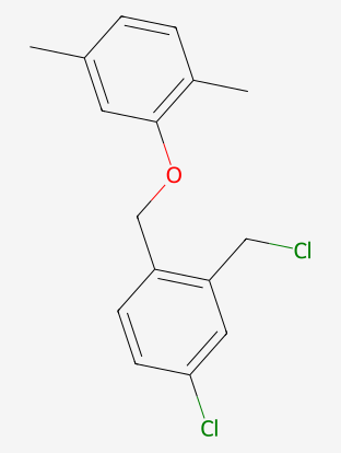 Cc1ccc(C)c(OCc2ccc(Cl)cc2CCl)c1